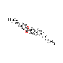 CCCCCCC1CC=C(c2ccc(C(=O)O[C@H]3CC[C@H](CCCCC)CC3)cc2)CC1